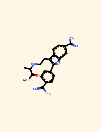 COC(=O)C(C)NCCc1c(-c2ccc(C(=N)N)cc2)[nH]c2cc(C(=N)N)ccc12